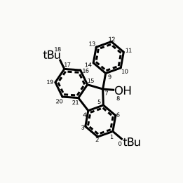 CC(C)(C)c1ccc2c(c1)C(O)(c1ccccc1)c1cc(C(C)(C)C)ccc1-2